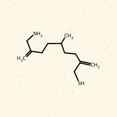 C=C(CN)CCC(C)CCC(=C)CS